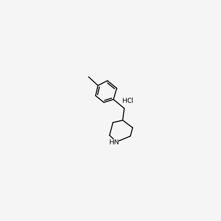 Cc1ccc(CC2CCNCC2)cc1.Cl